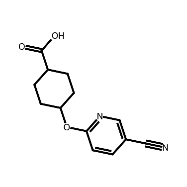 N#Cc1ccc(OC2CCC(C(=O)O)CC2)nc1